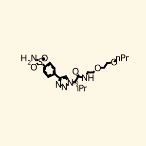 CCCOCCOCCNC(=O)[C@H](C(C)C)n1cc(-c2ccc(S(N)(=O)=O)cc2)nn1